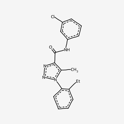 CCc1ccccc1-n1nnc(C(=O)Nc2cccc(Cl)c2)c1C